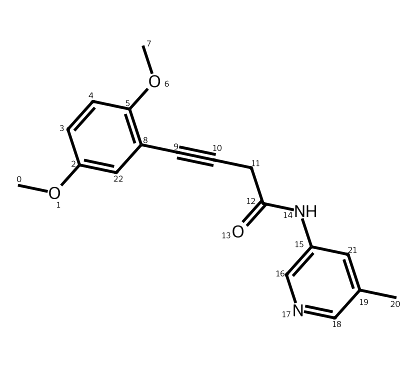 COc1ccc(OC)c(C#CCC(=O)Nc2cncc(C)c2)c1